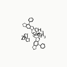 CC1=Cc2c(cc3c(c2-c2ccccc2)CCC3)C1C[SiH2]CC1C(C)=Cc2c1cc1c(c2-c2ccccc2)CCC1.[Cl][Zr][Cl]